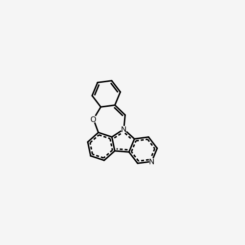 C1=CC2=Cn3c4ccncc4c4cccc(c43)OC2C=C1